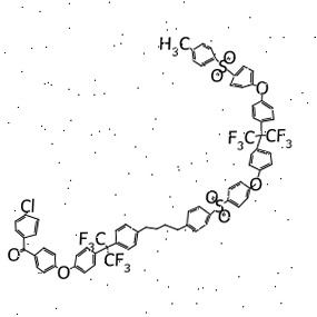 Cc1ccc(S(=O)(=O)c2ccc(Oc3ccc(C(c4ccc(Oc5ccc(S(=O)(=O)c6ccc(CCCCc7ccc(C(c8ccc(Oc9ccc(C(=O)c%10ccc(Cl)cc%10)cc9)cc8)(C(F)(F)F)C(F)(F)F)cc7)cc6)cc5)cc4)(C(F)(F)F)C(F)(F)F)cc3)cc2)cc1